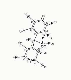 Fc1nc(F)c(F)c(C(F)(c2c(F)c(F)nc(F)c2F)C(F)(F)F)c1F